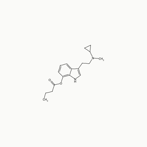 CCCC(=O)Oc1cccc2c(CCN(C)C3CC3)c[nH]c12